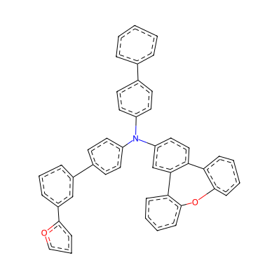 c1ccc(-c2ccc(N(c3ccc(-c4cccc(-c5ccco5)c4)cc3)c3ccc4c(c3)-c3ccccc3Oc3ccccc3-4)cc2)cc1